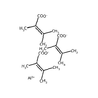 CC(C)=C(C)C(=O)[O-].CC(C)=C(C)C(=O)[O-].CC(C)=C(C)C(=O)[O-].[Al+3]